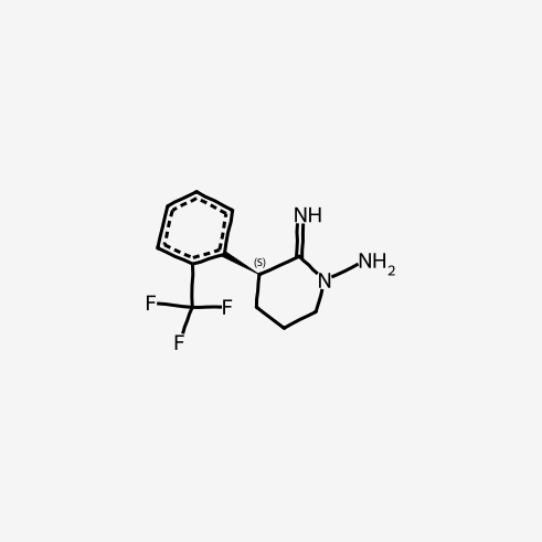 N=C1[C@H](c2ccccc2C(F)(F)F)CCCN1N